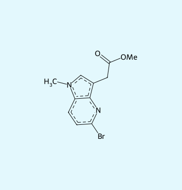 COC(=O)Cc1cn(C)c2ccc(Br)nc12